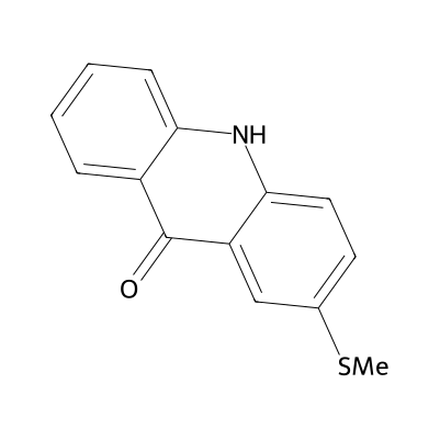 CSc1ccc2[nH]c3ccccc3c(=O)c2c1